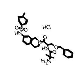 Cc1ccc(S(=O)(=O)Nc2ccc3c(c2)CN(C(=O)C(COCc2ccccc2)NC(=O)C(C)(C)N)CC3)cc1.Cl